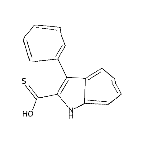 OC(=S)c1[nH]c2ccccc2c1-c1ccccc1